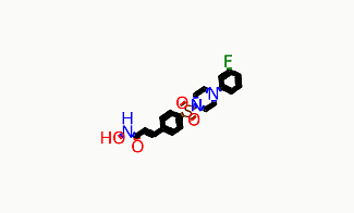 O=C(/C=C/c1ccc(S(=O)(=O)N2CCN(c3cccc(F)c3)CC2)cc1)NO